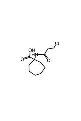 O=C(CCCl)NC1(C(=O)O)CCCCCC1